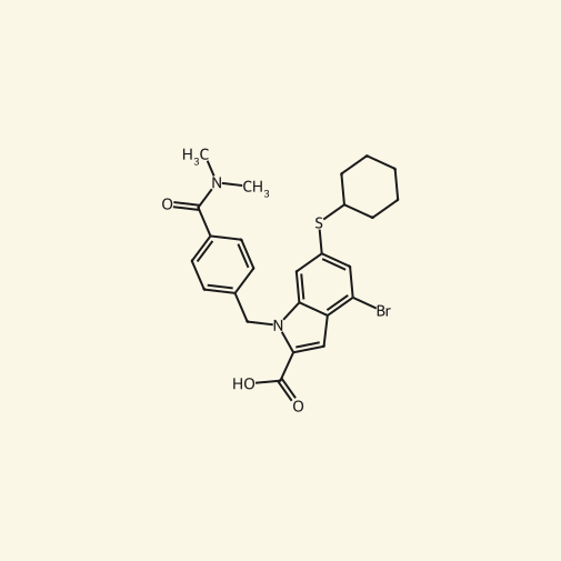 CN(C)C(=O)c1ccc(Cn2c(C(=O)O)cc3c(Br)cc(SC4CCCCC4)cc32)cc1